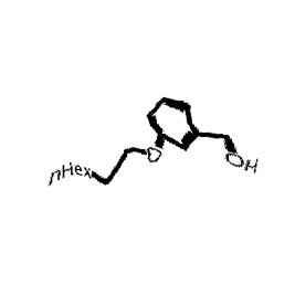 CCCCCCCCOc1cccc(CO)c1